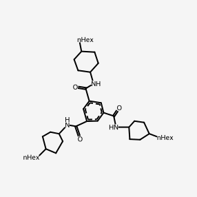 CCCCCCC1CCC(NC(=O)c2cc(C(=O)NC3CCC(CCCCCC)CC3)cc(C(=O)NC3CCC(CCCCCC)CC3)c2)CC1